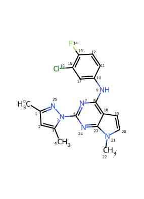 Cc1cc(C)n(-c2nc(Nc3ccc(F)c(Cl)c3)c3ccn(C)c3n2)n1